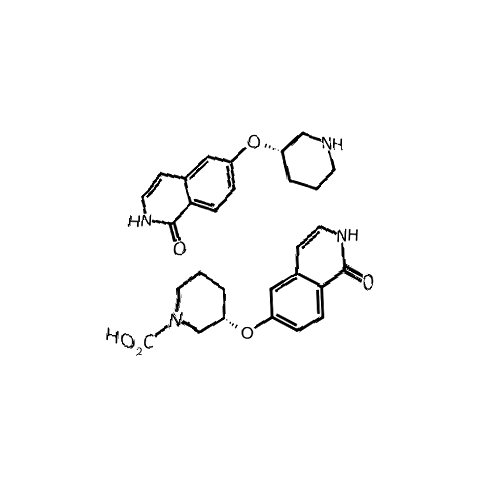 O=C(O)N1CCC[C@H](Oc2ccc3c(=O)[nH]ccc3c2)C1.O=c1[nH]ccc2cc(O[C@H]3CCCNC3)ccc12